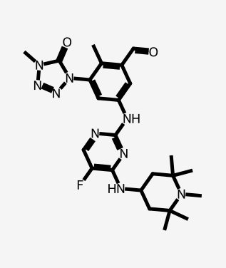 Cc1c(C=O)cc(Nc2ncc(F)c(NC3CC(C)(C)N(C)C(C)(C)C3)n2)cc1-n1nnn(C)c1=O